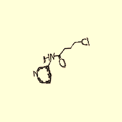 O=C(CCCCl)Nc1cccnc1